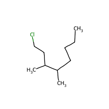 CCCCC(C)C(C)CCCl